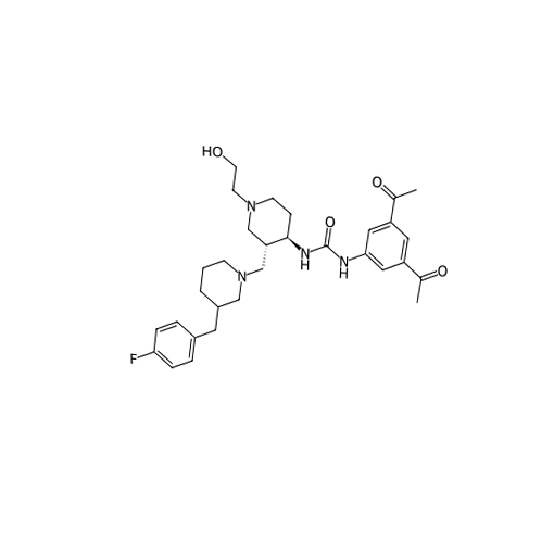 CC(=O)c1cc(NC(=O)N[C@@H]2CCN(CCO)C[C@H]2CN2CCCC(Cc3ccc(F)cc3)C2)cc(C(C)=O)c1